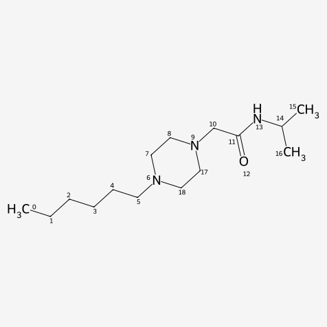 CCCCCCN1CCN(CC(=O)NC(C)C)CC1